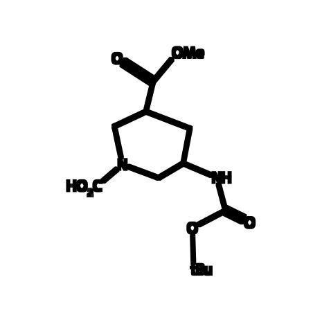 COC(=O)C1CC(NC(=O)OC(C)(C)C)CN(C(=O)O)C1